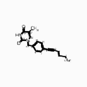 CC(=O)CCCC#Cc1ccc(Cn2cc(C)c(=O)[nH]c2=O)cc1